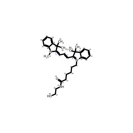 CN1/C(=C/C=C/C2=[N+](CCCCCC(=O)NCCO)c3ccccc3C2(C)C)C(C)(C)c2ccccc21